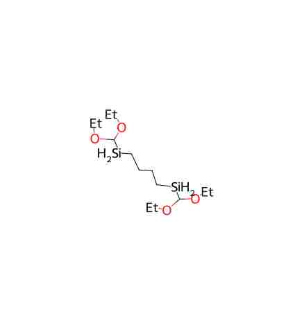 CCOC(OCC)[SiH2]CCCC[SiH2]C(OCC)OCC